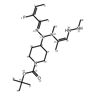 C/C=C(F)\C(C)=N\N(C1CCN(C(=O)OC(C)(C)C)CC1)N(C)/C(C)=C\NNC